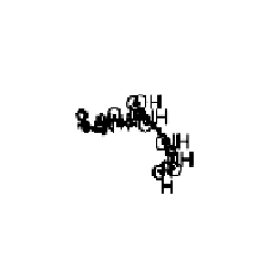 Cc1cc(N2CC[C@](C)(c3ccccc3)C2)cn2nc(C(=O)N3CC[C@@]4(CCN(c5cc(NC(=O)CCCCCC(=O)Nc6ccc(NC7CCC(=O)NC7=O)cc6)cc(C(=O)O)n5)C4)C3)nc12